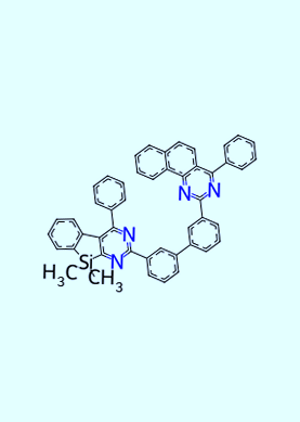 C[Si]1(C)c2ccccc2-c2c(-c3ccccc3)nc(-c3cccc(-c4cccc(-c5nc(-c6ccccc6)c6ccc7ccccc7c6n5)c4)c3)nc21